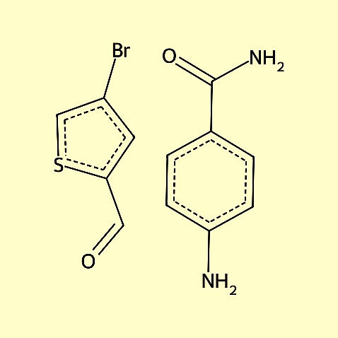 NC(=O)c1ccc(N)cc1.O=Cc1cc(Br)cs1